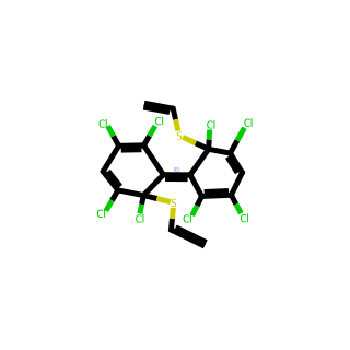 C=CSC1(Cl)C(Cl)=CC(Cl)=C(Cl)/C1=C1/C(Cl)=C(Cl)C=C(Cl)C1(Cl)SC=C